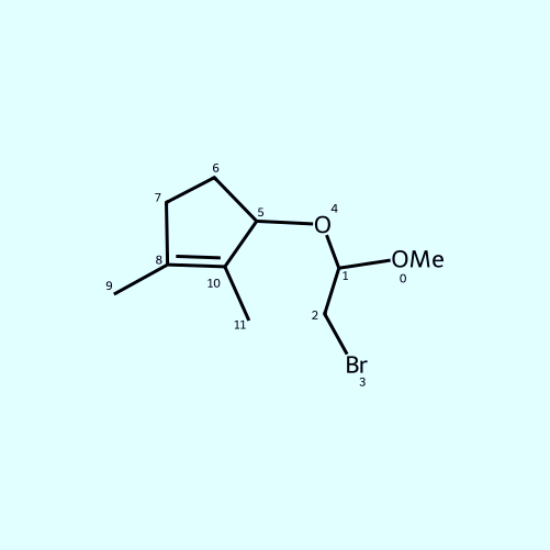 COC(CBr)OC1CCC(C)=C1C